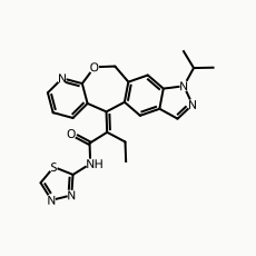 CC/C(C(=O)Nc1nncs1)=C1\c2cc3cnn(C(C)C)c3cc2COc2ncccc21